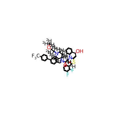 [2H]C([2H])([2H])OC([2H])([2H])C([2H])([2H])N1C([2H])([2H])C([2H])([2H])C([2H])(N(Cc2ccc(-c3ccc(C(F)(F)F)cc3)cc2)C(=O)C([2H])([2H])N2C(SC([2H])([2H])c3cccc(F)c3F)=CC(O)c3ccccc32)C([2H])([2H])C1([2H])[2H]